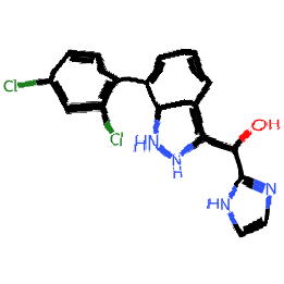 OC(C1=C2C=CC=C(c3ccc(Cl)cc3Cl)C2NN1)c1ncc[nH]1